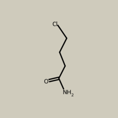 NC(=O)CCCCl